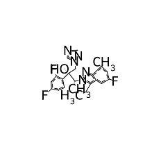 CCc1c2cc(F)cc(C)c2nn1[C@H](C)[C@](O)(Cn1cncn1)c1ccc(F)cc1F